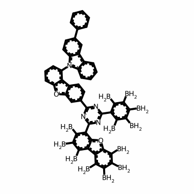 Bc1c(B)c(B)c(-c2nc(-c3ccc4c(c3)oc3cccc(-n5c6ccccc6c6cc(-c7ccccc7)ccc65)c34)nc(-c3c(B)c(B)c(B)c4c3oc3c(B)c(B)c(B)c(B)c34)n2)c(B)c1B